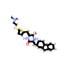 CN(C)CCSc1ccc(/C=c2\[nH]c(=O)/c(=C/c3ccc4c(c3)Cc3ccccc3-4)[nH]c2=O)s1